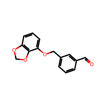 O=Cc1cccc(COc2cccc3c2OCO3)c1